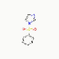 O=S(=O)(c1ccccc1)n1ccnc1